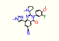 COc1ccc(-n2c(C3CCCN3C)nc3c(-c4cn(C)cn4)cc(C#N)cc3c2=O)cc1F